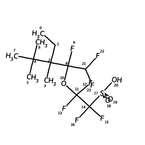 CCC(C)(C(C)(C)C)C(F)(OC(F)(F)C(F)(F)S(=O)(=O)O)C(F)F